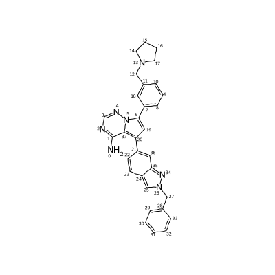 Nc1ncnn2c(-c3cccc(CN4CCCC4)c3)cc(-c3ccc4cn(Cc5ccccc5)nc4c3)c12